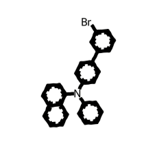 Brc1cccc(-c2ccc(N(c3ccccc3)c3cccc4ccccc34)cc2)c1